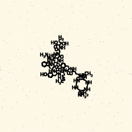 CNC[C@]1(NC(=O)CCCC(=O)N[C@H](Cc2ccccc2)C(=O)N[C@@H](CSSC)C(=O)N[C@@H](Cc2ccc(O)cc2)C(=O)N[C@H](Cc2c[nH]c3ccccc23)C(=O)N[C@@H](CCCCN)C(=O)NC(C(=O)NCC(=O)NC(C(=O)O)C(C)O)C(C)O)CNCCNC[C@](N)(CN)CNCCNC1